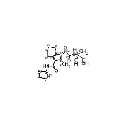 Cc1c(C(=O)Nc2nccs2)c2n(c1C(=O)C(=O)NC(C)(C)CO)CCCC2